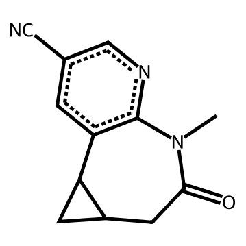 CN1C(=O)CC2CC2c2cc(C#N)cnc21